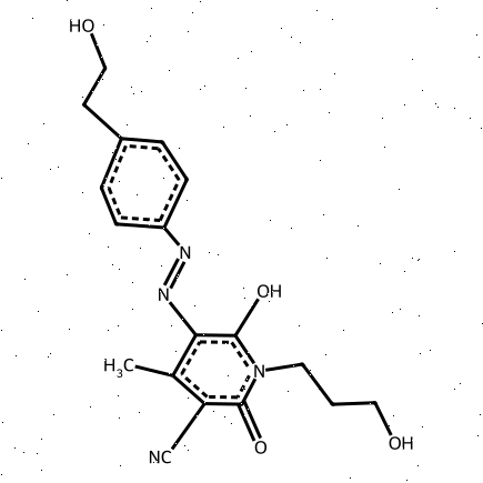 Cc1c(/N=N/c2ccc(CCO)cc2)c(O)n(CCCO)c(=O)c1C#N